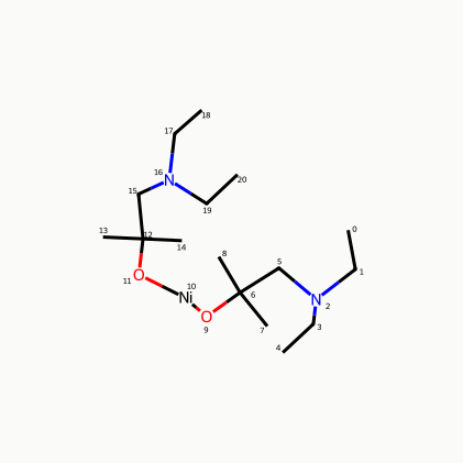 CCN(CC)CC(C)(C)[O][Ni][O]C(C)(C)CN(CC)CC